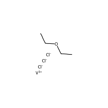 CCOCC.[Cl-].[Cl-].[Cl-].[V+3]